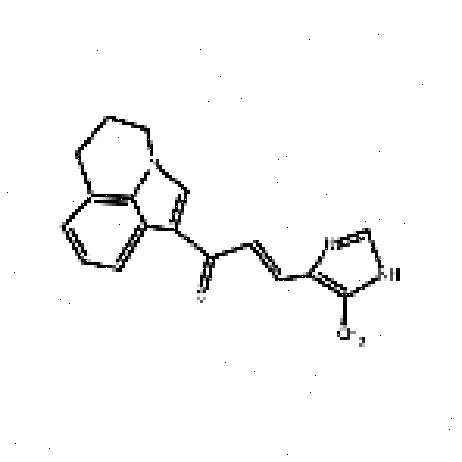 Cc1[nH]cnc1C=CC(=O)c1cn2c3c(cccc13)CCC2